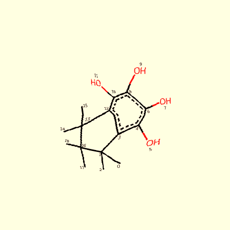 CC1(C)c2c(O)c(O)c(O)c(O)c2C(C)(C)C1(C)C